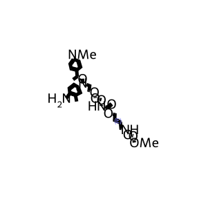 CNc1ccc(C(C)ON(CCOOONC(=O)OC/C=C/CNOOOC)c2ccc(N)c(C)c2)cc1